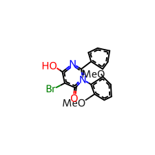 COc1cccc(OC)c1-n1c(-c2ccccc2)nc(O)c(Br)c1=O